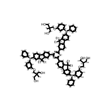 CCC1(CC)c2cc(-c3nc(-c4ccc5c(c4)C(CC)(CC)c4cc(N(c6ccccc6)c6cccc(OCC(C)(CO)CO)c6)ccc4-5)nc(-c4ccc5c(c4)C(CC)(CC)c4cc(N(c6ccccc6)c6cccc(OCC(C)(CO)CO)c6)ccc4-5)n3)ccc2-c2ccc(N(c3ccccc3)c3cccc(OCC(CO)CO)c3)cc21